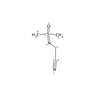 CS(C)(=O)=NCC#N